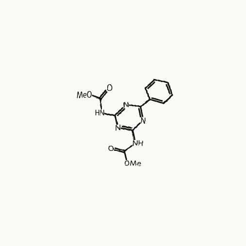 COC(=O)Nc1nc(NC(=O)OC)nc(-c2ccccc2)n1